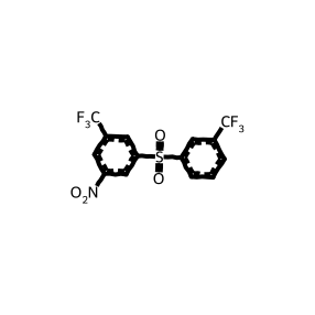 O=[N+]([O-])c1cc(C(F)(F)F)cc(S(=O)(=O)c2cccc(C(F)(F)F)c2)c1